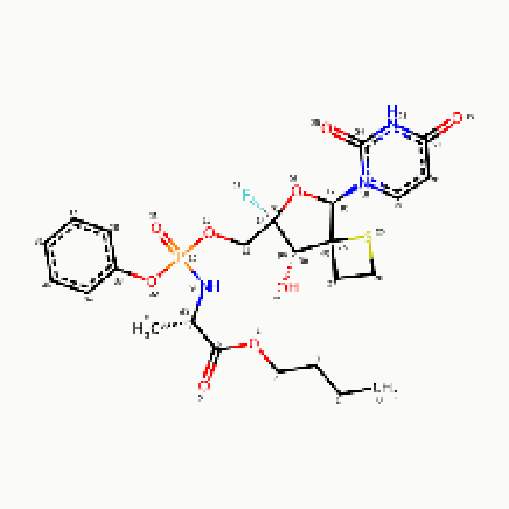 CCCCOC(=O)[C@H](C)NP(=O)(OC[C@@]1(F)O[C@@H](n2ccc(=O)[nH]c2=O)[C@@]2(CCS2)[C@@H]1O)Oc1ccccc1